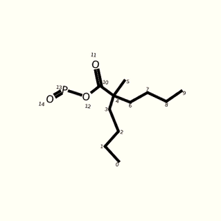 CCCCC(C)(CCCC)C(=O)OP=O